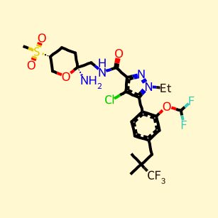 CCn1nc(C(=O)NC[C@]2(N)CC[C@@H](S(C)(=O)=O)CO2)c(Cl)c1-c1ccc(CC(C)(C)C(F)(F)F)cc1OC(F)F